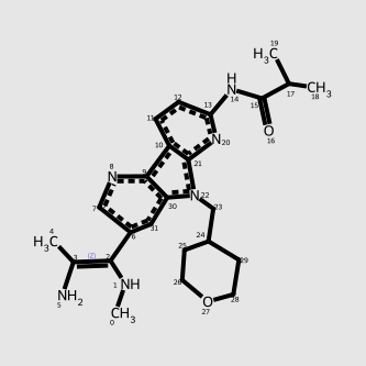 CN/C(=C(/C)N)c1cnc2c3ccc(NC(=O)C(C)C)nc3n(CC3CCOCC3)c2c1